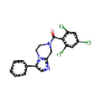 O=C(c1c(Cl)cc(Cl)cc1Cl)N1CCn2c(-c3ccccc3)cnc2C1